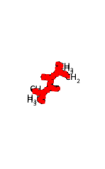 C=Cc1ccc(-c2ccc(N(c3ccc(-c4ccc(-n5c6ccc(-c7ccccc7)cc6c6cc(-c7ccc8c(c7)c7cc(-c9ccccc9)ccc7n8-c7ccc(-c8ccc(N(c9ccc(-c%10ccc(C=C)cc%10)cc9)c9ccc%10c(c9)C(C)(C)c9ccccc9-%10)cc8)cc7)ccc65)cc4)cc3)c3ccc4c(c3)C(C)(C)c3ccccc3-4)cc2)cc1